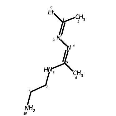 CC/C(C)=N/N=C(/C)NCCN